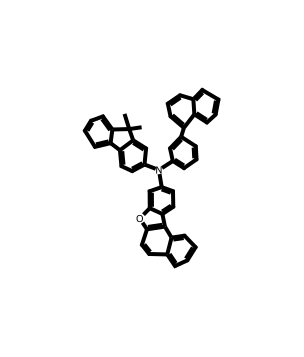 CC1(C)c2ccccc2-c2ccc(N(c3cccc(-c4cccc5ccccc45)c3)c3ccc4c(c3)oc3ccc5ccccc5c34)cc21